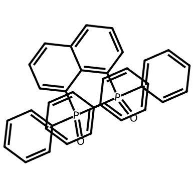 O=P(c1ccccc1)(c1ccccc1)c1cccc2cccc(P(=O)(c3ccccc3)c3ccccc3)c12